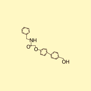 O=C(COc1ccc(-c2ccc(CO)cc2)cc1)NCc1ccccc1